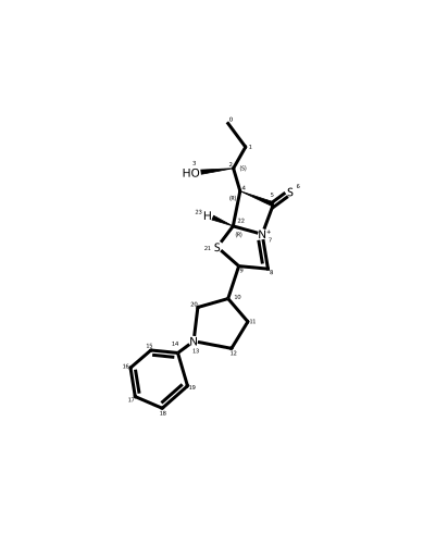 CC[C@H](O)[C@H]1C(=S)[N+]2=CC(C3CCN(c4ccccc4)C3)S[C@H]12